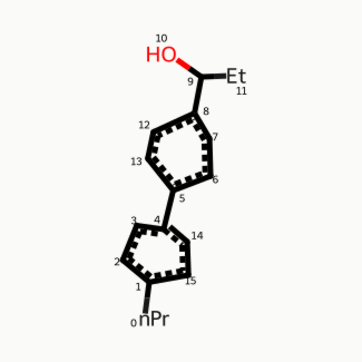 CCCc1ccc(-c2ccc(C(O)CC)cc2)cc1